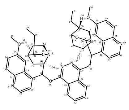 CC[C@@H]1C[N@@]2CCC1C[C@@H]2C(Oc1nnc(OC(c2ccnc3ccc(OC)cc23)[C@H]2CC3CC[N@]2C[C@@H]3CC)c2ccccc12)c1ccnc2ccc(OC)cc12